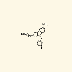 CCOC(=O)NC1Cc2c(n(Cc3cccc(F)n3)c3ccc(N)cc23)C1